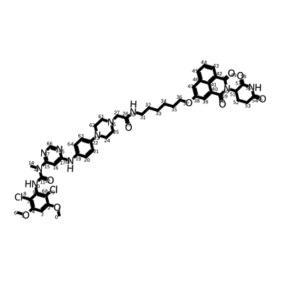 COc1cc(OC)c(Cl)c(NC(=O)N(C)c2cc(Nc3ccc(N4CCN(CC(=O)NCCCCCCOc5cc6c7c(cccc7c5)C(=O)N(C5CCC(=O)NC5=O)C6=O)CC4)cc3)ncn2)c1Cl